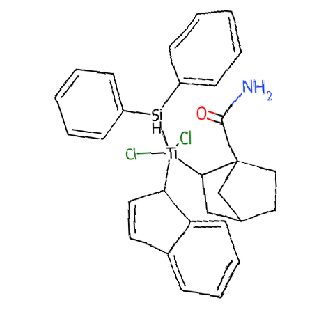 NC(=O)C12CCC(C[CH]1[Ti]([Cl])([Cl])([CH]1C=Cc3ccccc31)[SiH](c1ccccc1)c1ccccc1)C2